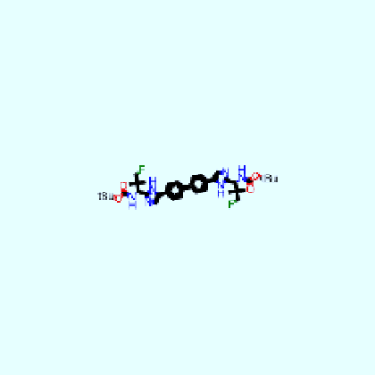 CC(C)(C)OC(=O)N[C@H](c1ncc(-c2ccc(-c3ccc(-c4cnc([C@@H](NC(=O)OC(C)(C)C)C(C)(C)CF)[nH]4)cc3)cc2)[nH]1)C(C)(C)CF